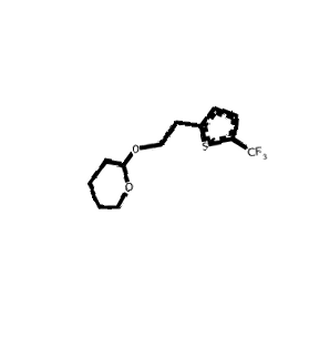 FC(F)(F)c1ccc(CCOC2CCCCO2)s1